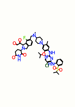 Cc1cc(Nc2ncc(Cl)c(Nc3ccccc3S(=O)(=O)C(C)C)n2)c(OC(C)C)cc1N1CCC(N(C)Cc2ccc3c(c2F)C(C(=O)C=O)N(C2CCC(=O)NC2=O)C3)CC1